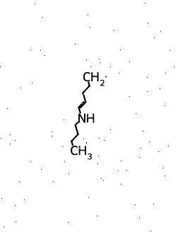 [CH2]CCC=CNCCCC